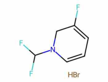 Br.FC1=CC=CN(C(F)F)C1